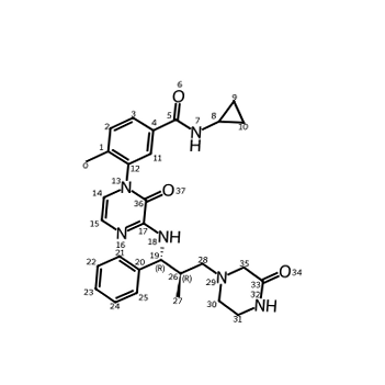 Cc1ccc(C(=O)NC2CC2)cc1-n1ccnc(N[C@@H](c2ccccc2)[C@H](C)CN2CCNC(=O)C2)c1=O